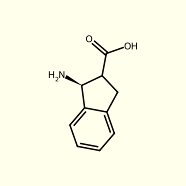 N[C@@H]1c2ccccc2CC1C(=O)O